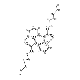 CCCCCCOC(=O)c1c2cccc(C)c2c(C(=O)OCCCCCC)c2cccc(C)c12